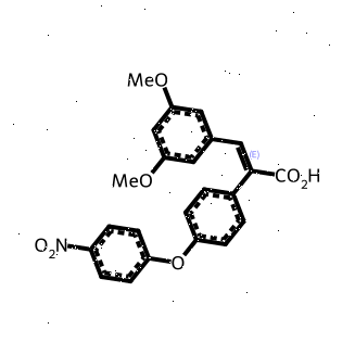 COc1cc(/C=C(/C(=O)O)c2ccc(Oc3ccc([N+](=O)[O-])cc3)cc2)cc(OC)c1